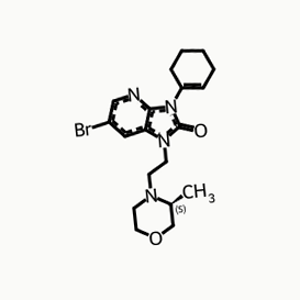 C[C@H]1COCCN1CCn1c(=O)n(C2=CCCCC2)c2ncc(Br)cc21